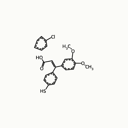 COc1ccc(C(=CC(=O)O)c2ccc(S)cc2)cc1OC.Clc1ccccc1